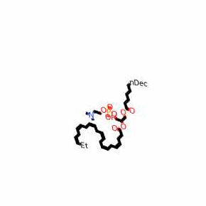 CC/C=C\C/C=C\C/C=C\C/C=C\C/C=C\C/C=C\CCC(=O)OC(COC(=O)CCCCCCCCCCCCCCC)COP(=O)(O)OCCN(C)C